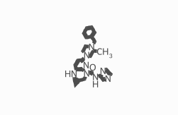 CC1CN(c2ccc3c(n2)N(C(=O)Nc2cnccn2)CC2CC2N3)CCN1Cc1ccccc1